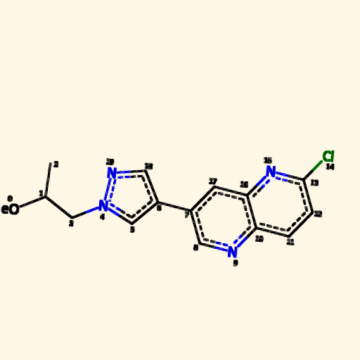 COC(C)Cn1cc(-c2cnc3ccc(Cl)nc3c2)cn1